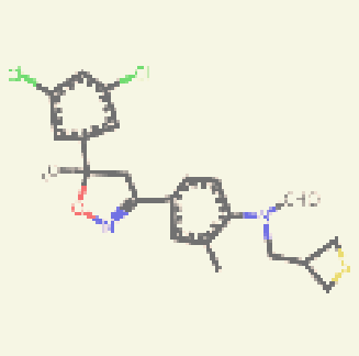 Cc1cc(C2=NOC(c3cc(Cl)cc(Cl)c3)(C(F)(F)F)C2)ccc1N(C=O)CC1CSC1